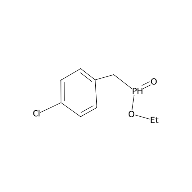 CCO[PH](=O)Cc1ccc(Cl)cc1